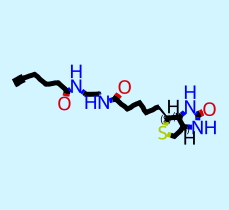 C#CCCCC(=O)NCCNC(=O)CCCC[C@@H]1SC[C@@H]2NC(=O)N[C@@H]21